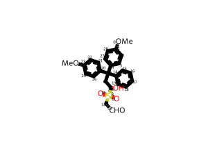 COc1ccc(C(CC(O)S(=O)(=O)CC=O)(c2ccccc2)c2ccc(OC)cc2)cc1